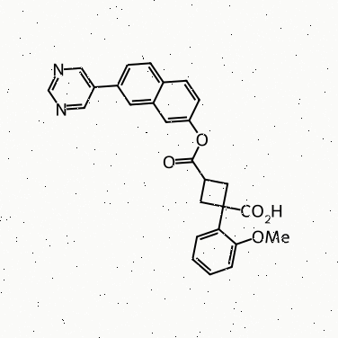 COc1ccccc1C1(C(=O)O)CC(C(=O)Oc2ccc3ccc(-c4cncnc4)cc3c2)C1